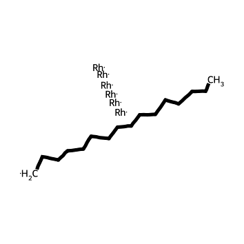 [CH2]CCCCCCCCCCCCCCC.[Rh].[Rh].[Rh].[Rh].[Rh].[Rh]